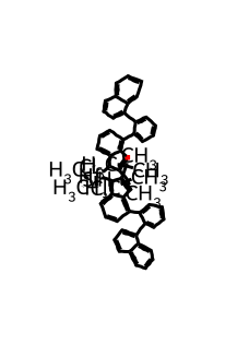 C[SiH](C)[Hf]([Cl])([Cl])([CH]1C(C(C)(C)C)=Cc2c(-c3ccccc3-c3cccc4ccccc34)cccc21)[CH]1C(C(C)(C)C)=Cc2c(-c3ccccc3-c3cccc4ccccc34)cccc21